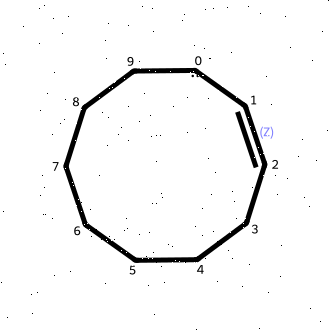 [C]1/C=C\CCCCCCC1